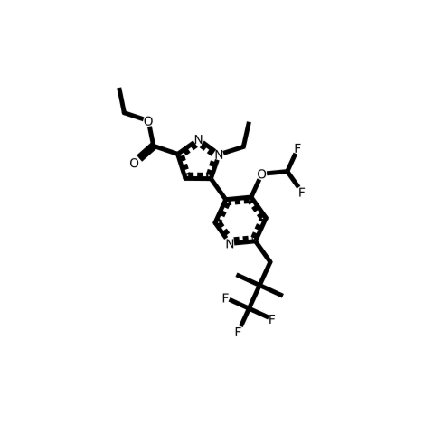 CCOC(=O)c1cc(-c2cnc(CC(C)(C)C(F)(F)F)cc2OC(F)F)n(CC)n1